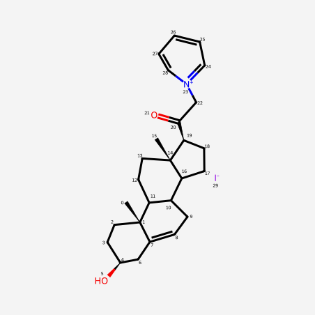 C[C@]12CC[C@H](O)CC1=CCC1C2CC[C@@]2(C)C1CC[C@@H]2C(=O)C[n+]1ccccc1.[I-]